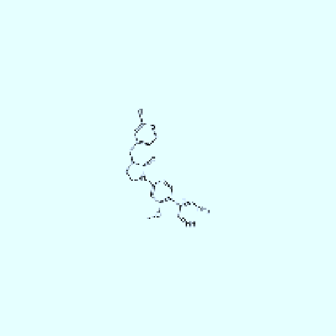 COc1cc(N2CCN(Cc3cccc(Cl)c3)C2=O)ccc1/C(C=N)=C/N